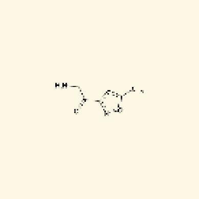 Cc1cc(C(=O)CN)no1